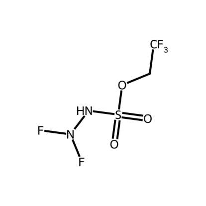 O=S(=O)(NN(F)F)OCC(F)(F)F